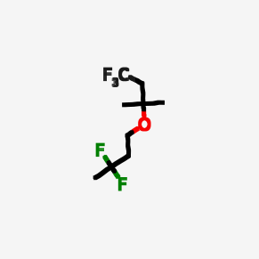 CC(F)(F)CCOC(C)(C)CC(F)(F)F